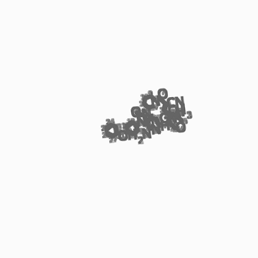 CC(C)(C=C(C#N)C(=O)N1CCCC(n2c(=O)n(-c3ccc(Oc4ccccc4)cc3)c3c(N)nccc32)C1)N1[C@@H]2CC[C@H]1COC2